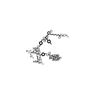 CCOC(=O)CCCCCCN1C(=O)CC[C@@H]1/C=C/[C@@H](OC(=O)Cc1ccc(COC(=O)N[C@@H](CCC(C)C)C(=O)N[C@@H](CCCNC(=N)N)C(=O)Nc2ccc(COC(=O)NCCCC(O)(P(=O)(O)O)P(=O)(O)O)cc2)cc1)C(F)(F)c1ccc(I)cc1